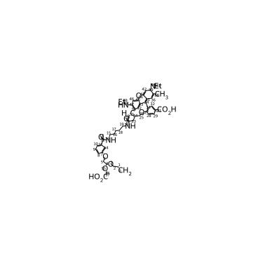 C=CCOC(COc1cccc(C(=O)NCCCCCNC(=O)CCCOc2ccc(C(=O)O)cc2-c2c3cc(C)/c(=N\CC)cc-3oc3cc(NCC)c(C)cc23)c1)OCC(=O)O